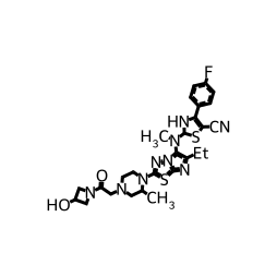 CCc1nc2sc(N3CCN(CC(=O)N4CC(O)C4)CC3C)nn2c1N(C)C1NC(c2ccc(F)cc2)=C(C#N)S1